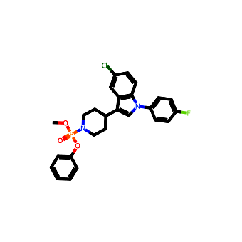 COP(=O)(Oc1ccccc1)N1CCC(c2cn(-c3ccc(F)cc3)c3ccc(Cl)cc23)CC1